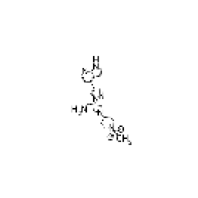 CS(=O)(=O)N1CCC(N2CC(CN)(n3cc(-c4ccnc5[nH]ccc45)cn3)C2)CC1